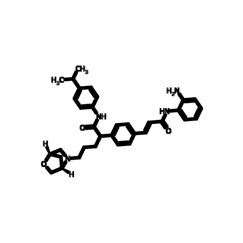 CC(C)c1ccc(NC(=O)C(CCCN2C[C@@H]3C[C@H]2CO3)c2ccc(/C=C/C(=O)Nc3ccccc3N)cc2)cc1